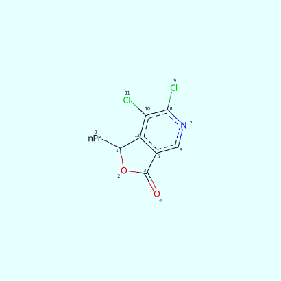 CCCC1OC(=O)c2cnc(Cl)c(Cl)c21